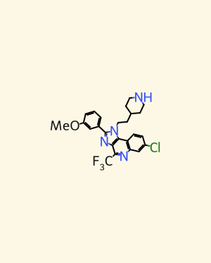 COc1cccc(-c2nc3c(C(F)(F)F)nc4cc(Cl)ccc4c3n2CCC2CCNCC2)c1